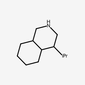 CC(C)C1CNCC2CCCCC21